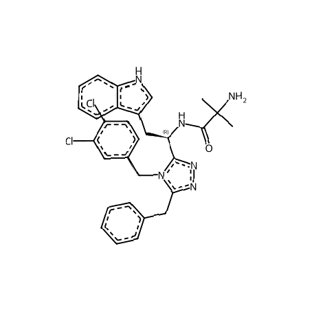 CC(C)(N)C(=O)N[C@H](Cc1c[nH]c2ccccc12)c1nnc(Cc2ccccc2)n1Cc1ccc(Cl)c(Cl)c1